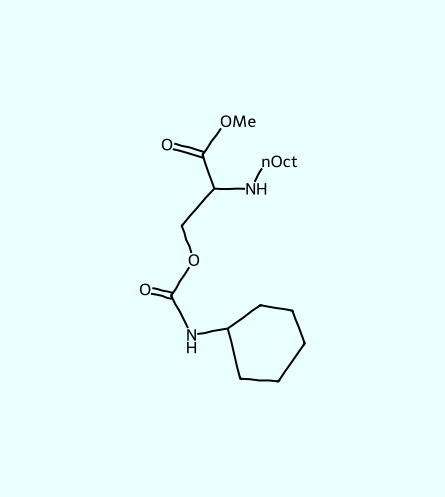 CCCCCCCCNC(COC(=O)NC1CCCCC1)C(=O)OC